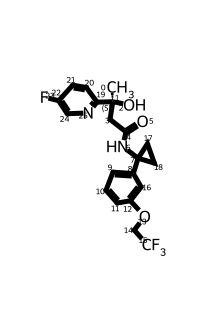 C[C@](O)(CC(=O)NC1(c2cccc(OCC(F)(F)F)c2)CC1)c1ccc(F)cn1